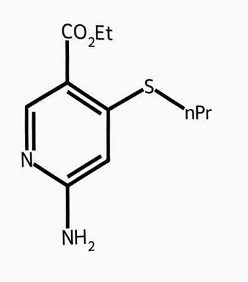 CCCSc1cc(N)ncc1C(=O)OCC